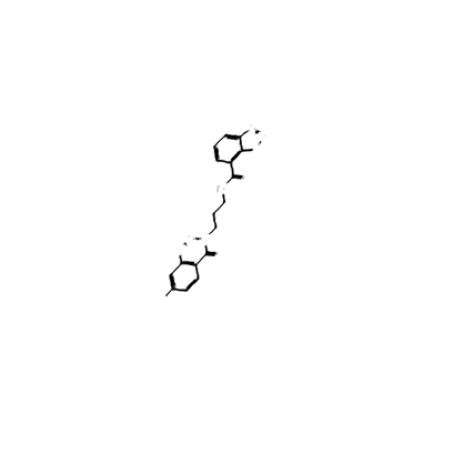 O=C(NCCCn1nnc2cc(F)ccc2c1=O)c1cccc2nnsc12